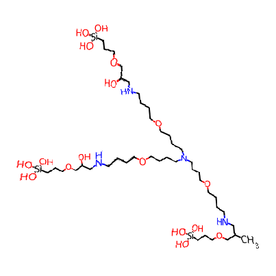 CC(CNCCCCOCCCCN(CCCCOCCCCNCC(O)COCCC[Si](O)(O)O)CCCCOCCCCNCC(O)COCCC[Si](O)(O)O)COCCC[Si](O)(O)O